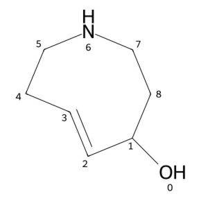 OC1/C=C/CCNCC1